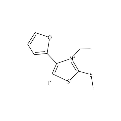 CC[n+]1c(-c2ccco2)csc1SC.[I-]